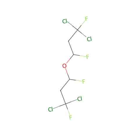 FC(CC(F)(Cl)Cl)OC(F)CC(F)(Cl)Cl